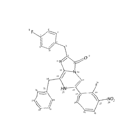 O=c1c(Cc2ccc(F)cc2)nc2c(Cc3ccccc3)[nH]c(-c3cccc([N+](=O)[O-])c3F)cn1-2